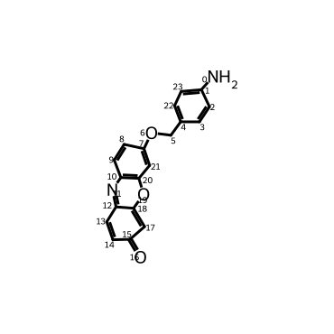 Nc1ccc(COc2ccc3nc4ccc(=O)cc-4oc3c2)cc1